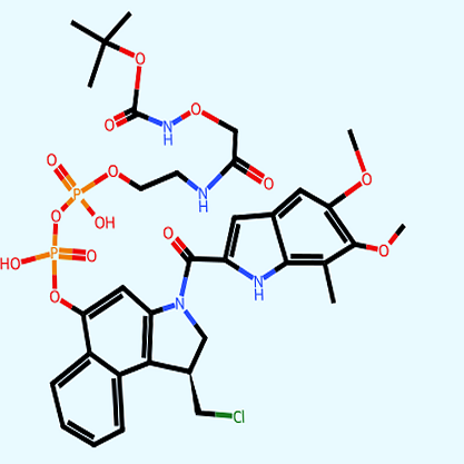 COc1cc2cc(C(=O)N3C[C@@H](CCl)c4c3cc(OP(=O)(O)OP(=O)(O)OCCNC(=O)CONC(=O)OC(C)(C)C)c3ccccc43)[nH]c2c(C)c1OC